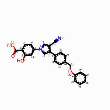 N#Cc1cn(-c2ccc(C(=O)O)c(O)c2)cc1-c1ccc(COc2ccccc2)cc1